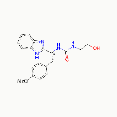 COc1ccc(C[C@@H](NC(=O)NCCO)c2nc3ccccc3[nH]2)cc1